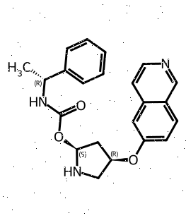 C[C@@H](NC(=O)O[C@H]1C[C@@H](Oc2ccc3cnccc3c2)CN1)c1ccccc1